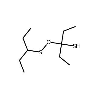 CCC(CC)SOC(S)(CC)CC